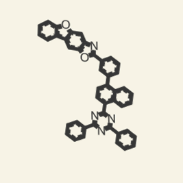 c1ccc(-c2nc(-c3ccccc3)nc(-c3ccc(-c4cccc(-c5nc6cc7oc8ccccc8c7cc6o5)c4)c4ccccc34)n2)cc1